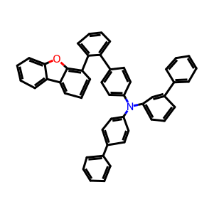 c1ccc(-c2ccc(N(c3ccc(-c4ccccc4-c4cccc5c4oc4ccccc45)cc3)c3cccc(-c4ccccc4)c3)cc2)cc1